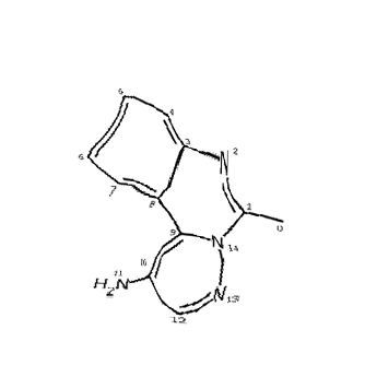 Cc1nc2ccccc2c2c(N)cnn12